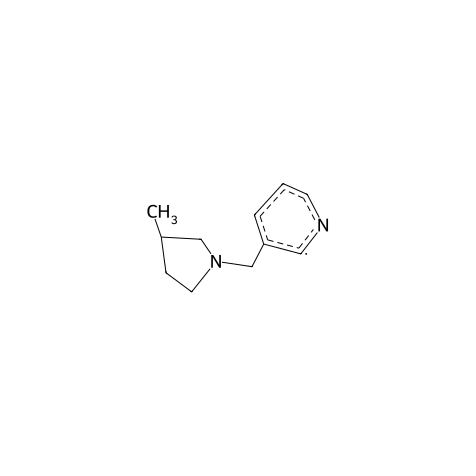 CC1CCN(Cc2[c]nccc2)C1